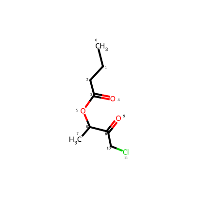 CCCC(=O)OC(C)C(=O)CCl